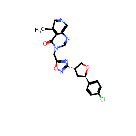 Cc1cncc2ncn(Cc3nc([C@@H]4CO[C@@H](c5ccc(Cl)cc5)C4)no3)c(=O)c12